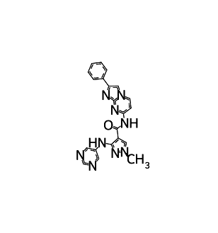 Cn1cc(C(=O)Nc2ccn3cc(-c4ccccc4)nc3n2)c(Nc2cncnc2)n1